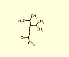 CC(=O)CCC(C(C)C)C(C)C